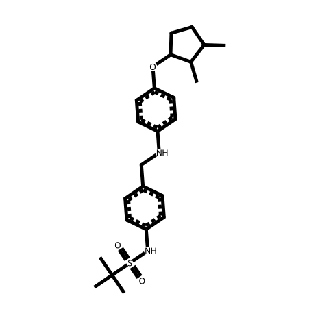 CC1CCC(Oc2ccc(NCc3ccc(NS(=O)(=O)C(C)(C)C)cc3)cc2)C1C